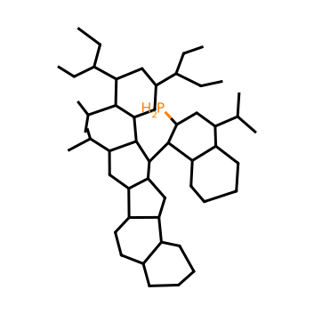 CCC(CC)C1CC(C(CC)CC)C(C(C)C)C(C2C(C(C)C)CC3C4CCC5CCCCC5C4CC3C2C2C(P)CC(C(C)C)C3CCCCC32)C1